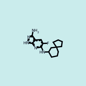 Nc1n[nH]c2nc(NC3CCCC4(CCCC4)C3)c(F)cc12